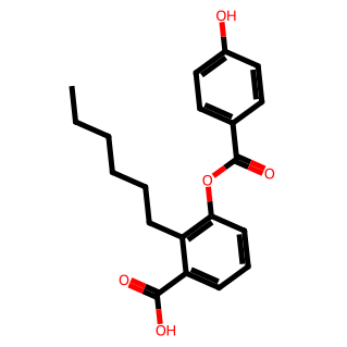 CCCCCCc1c(OC(=O)c2ccc(O)cc2)cccc1C(=O)O